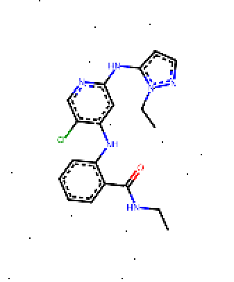 CCNC(=O)c1ccccc1Nc1cc(Nc2ccnn2CC)ncc1Cl